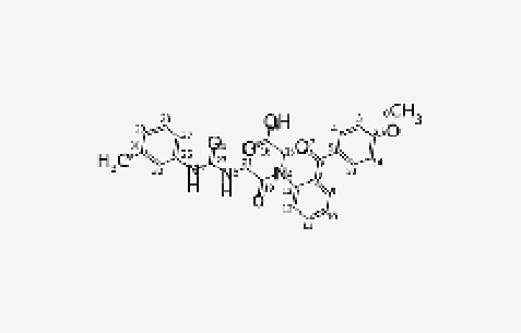 COc1ccc(C(=O)c2ccccc2N(CC(=O)O)C(=O)CNC(=O)Nc2cccc(C)c2)cc1